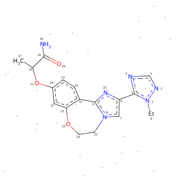 CCn1ncnc1-c1cn2c(n1)-c1ccc(OC(C)C(N)=O)cc1OCC2